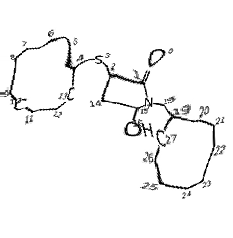 O=C1C(SC2CCCCCCCCC2)CC(O)N1CC1CCCCCCCC1